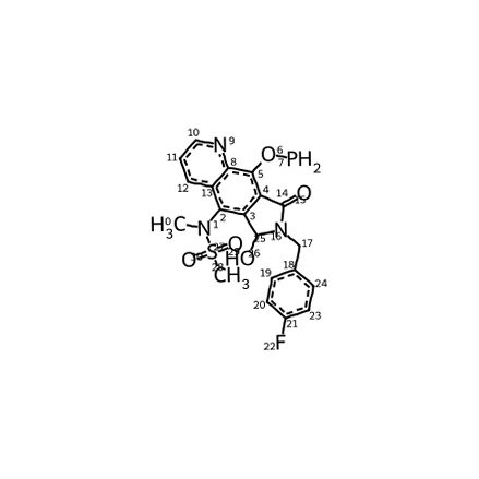 CN(c1c2c(c(OP)c3ncccc13)C(=O)N(Cc1ccc(F)cc1)C2O)S(C)(=O)=O